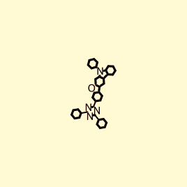 c1ccc(-c2nc(-c3ccccc3)nc(-c3ccc4c(c3)oc3cc5c(cc34)c3ccccc3n5-c3ccccc3)n2)cc1